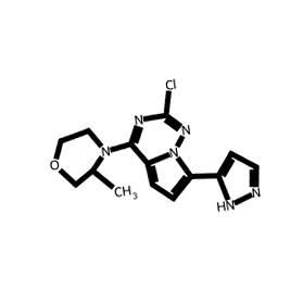 CC1COCCN1c1nc(Cl)nn2c(-c3ccn[nH]3)ccc12